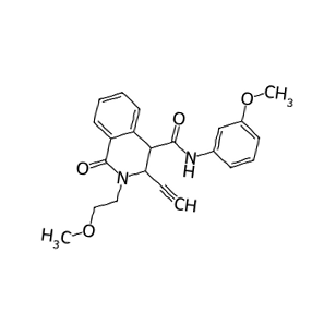 C#CC1C(C(=O)Nc2cccc(OC)c2)c2ccccc2C(=O)N1CCOC